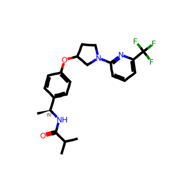 CC(C)C(=O)N[C@@H](C)c1ccc(OC2CCN(c3cccc(C(F)(F)F)n3)C2)cc1